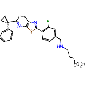 O=C(O)CCCNCc1ccc(-c2nc3ccc(C4(c5ccccc5)CC4)nc3s2)c(F)c1